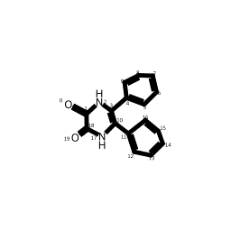 O=c1[nH]c(-c2ccccc2)c(-c2ccccc2)[nH]c1=O